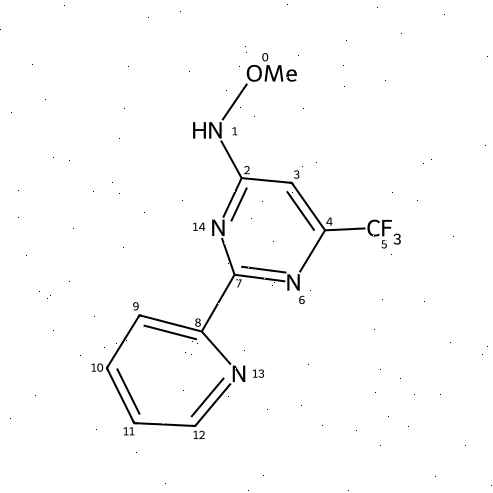 CONc1cc(C(F)(F)F)nc(-c2ccccn2)n1